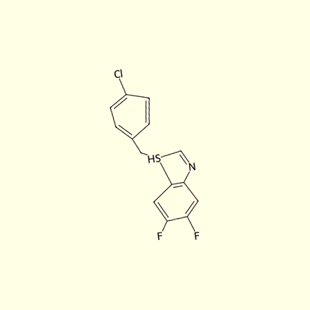 Fc1cc2c(cc1F)[SH](Cc1ccc(Cl)cc1)C=N2